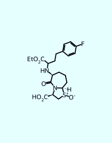 CCOC(=O)C(CCc1ccc(F)cc1)N[C@H]1CCC[C@@H]2N(C1=O)[C@H](C(=O)O)C[S+]2[O-]